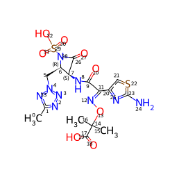 Cc1nnn(C[C@@H]2[C@H](NC(=O)C(=NOC(C)(C)C(=O)O)c3csc(N)n3)C(=O)N2S(=O)(=O)O)n1